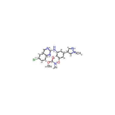 CC(C)N(Oc1cc(Nc2ncc3cc(Br)ccc3n2)cc(-c2cnn(C)c2)c1)C(=O)OC(C)(C)C